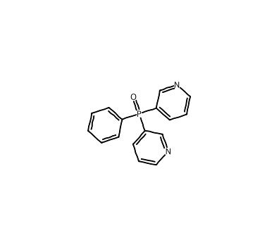 O=P(c1ccccc1)(c1cccnc1)c1cccnc1